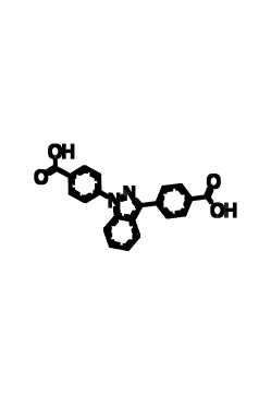 O=C(O)c1ccc(-c2nn(-c3ccc(C(=O)O)cc3)c3ccccc23)cc1